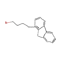 BrCCCCc1cccc2c1Cc1ccccc1-2